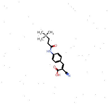 C[Si](C)(C)CCC(=O)Nc1ccc(C=C(C#N)C(=O)O)cc1